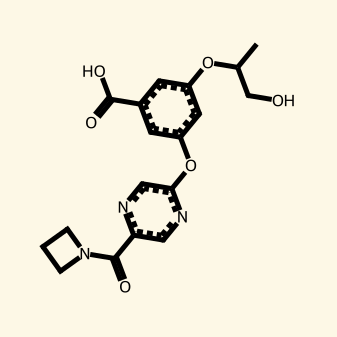 CC(CO)Oc1cc(Oc2cnc(C(=O)N3CCC3)cn2)cc(C(=O)O)c1